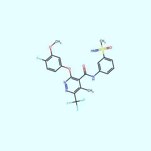 COc1cc(Oc2nnc(C(F)(F)F)c(C)c2C(=O)Nc2cccc(S(C)(=N)=O)c2)ccc1F